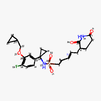 O=C1CCC(C/C=C/CCS(=O)(=O)NC2(c3ccc(F)c(OCC4CC4)c3)CC2)C(=O)N1